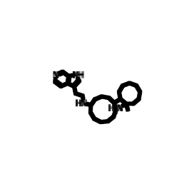 CC1(N)CCCCCCCC1C1CCCCCCC(NCCc2c[nH]c3cnccc23)CCC1